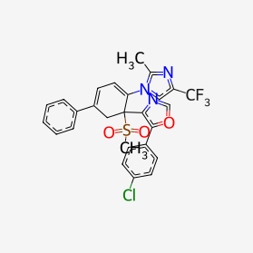 Cc1nc(C(F)(F)F)cn1C1=CC=C(c2ccccc2)CC1(c1ncoc1-c1ccc(Cl)cc1)S(C)(=O)=O